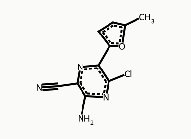 Cc1ccc(-c2nc(C#N)c(N)nc2Cl)o1